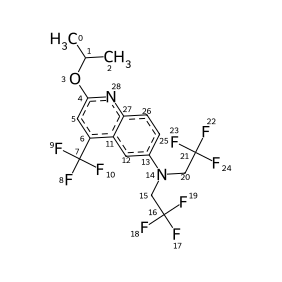 CC(C)Oc1cc(C(F)(F)F)c2cc(N(CC(F)(F)F)CC(F)(F)F)ccc2n1